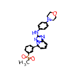 CS(=O)(=O)c1cccc(-c2cccc3nc(Nc4ccc(N5CCOCC5)cc4)nn23)c1